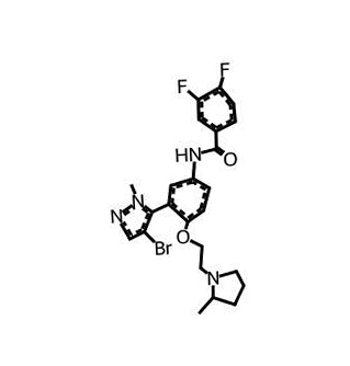 CC1CCCN1CCOc1ccc(NC(=O)c2ccc(F)c(F)c2)cc1-c1c(Br)cnn1C